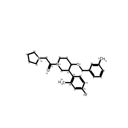 Cc1cccc(COC2CCN(C(=O)CN3CCCC3)CC2c2ccc(F)cc2C)c1